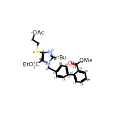 CCCCc1nc(SCCOC(C)=O)c(C(=O)OCC)n1Cc1ccc(-c2ccccc2C(=O)OC)cc1